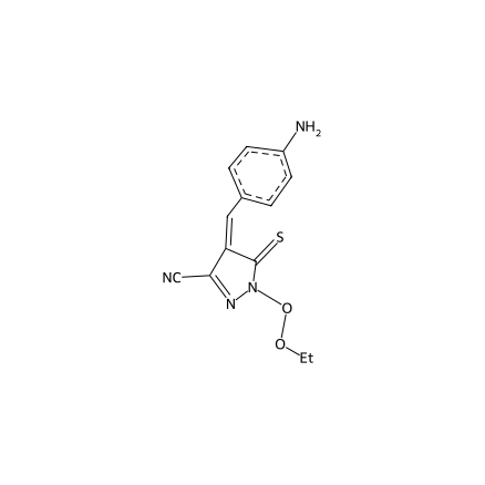 CCOON1N=C(C#N)/C(=C/c2ccc(N)cc2)C1=S